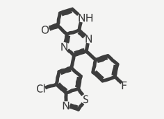 O=c1cc[nH]c2nc(-c3ccc(F)cc3)c(-c3cc(Cl)c4ncsc4c3)nc12